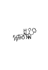 Cn1nc(Cc2ccccc2)c(C2CCC2)c1NC(=O)C[C@H]1CC(F)(F)C1(F)F